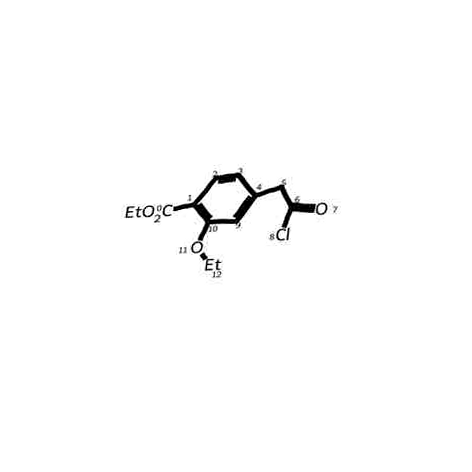 CCOC(=O)c1ccc(CC(=O)Cl)cc1OCC